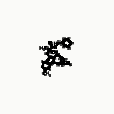 Cc1ccc2c(c1)c1c(n2CC(C)(C)C(=O)NCc2ccccc2)CC2CCC1N2C